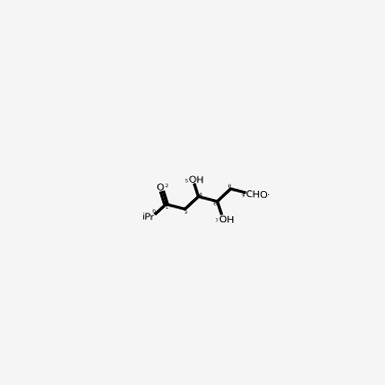 CC(C)C(=O)CC(O)C(O)C[C]=O